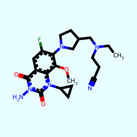 CCN(CCC#N)CC1CCN(c2c(F)cc3c(=O)n(N)c(=O)n(C4CC4)c3c2OC)C1